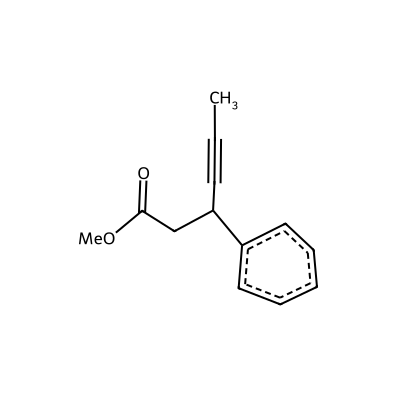 CC#CC(CC(=O)OC)c1ccccc1